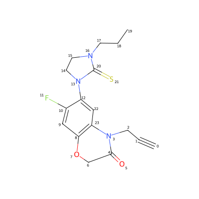 C#CCN1C(=O)COc2cc(F)c(N3CCN(CCC)C3=S)cc21